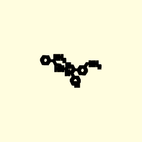 NCc1cccc(-c2cnc(NCCC(N)c3ccccc3)nc2-c2ccncc2)c1